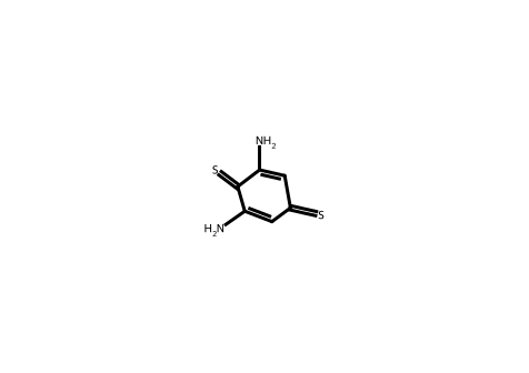 NC1=CC(=S)C=C(N)C1=S